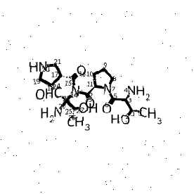 C[C@@H](O)[C@H](N)C(=O)N1CCC[C@@H]1C(=O)N(C(=O)[C@@H]1CCNC1)[C@](N)(C=O)[C@@H](C)O